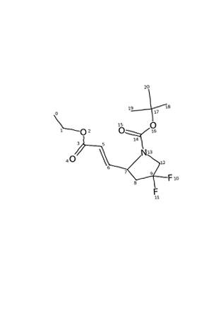 CCOC(=O)C=CC1CC(F)(F)CN1C(=O)OC(C)(C)C